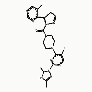 CC1=NN(c2ncc(F)c(N3CCN(C(=O)N4N=CCC4c4ncccc4Cl)CC3)n2)C(C)N1